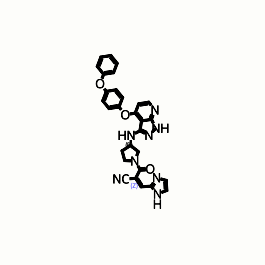 N#C/C(=C/c1ncc[nH]1)C(=O)N1CC[C@@H](Nc2n[nH]c3nccc(Oc4ccc(Oc5ccccc5)cc4)c23)C1